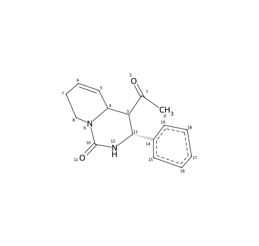 CC(=O)C1C2C=CCCN2C(=O)N[C@H]1c1ccccc1